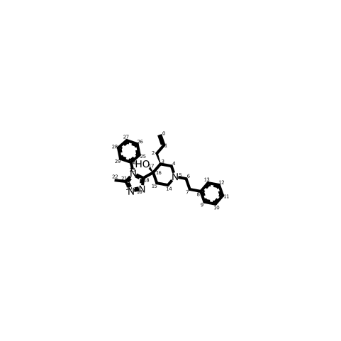 C=CC[C@H]1CN(CCc2ccccc2)CC[C@]1(O)c1nnc(C)n1-c1ccccc1